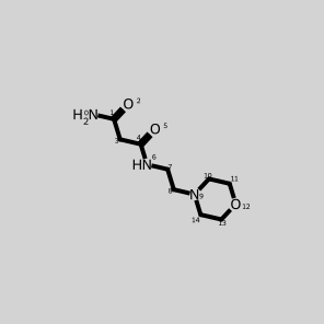 NC(=O)CC(=O)NCCN1CCOCC1